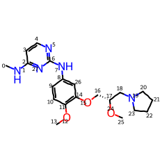 CNc1ccnc(Nc2ccc(OC)c(OC[C@H](CN3CCCC3)OC)c2)n1